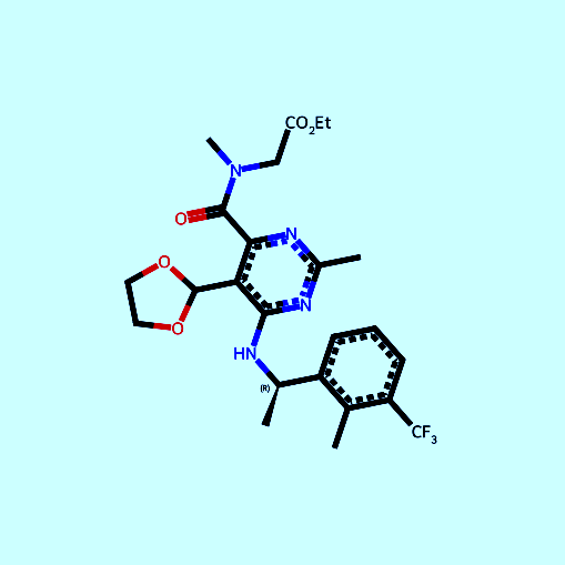 CCOC(=O)CN(C)C(=O)c1nc(C)nc(N[C@H](C)c2cccc(C(F)(F)F)c2C)c1C1OCCO1